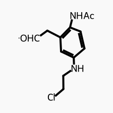 CC(=O)Nc1ccc(NCCCl)cc1C[C]=O